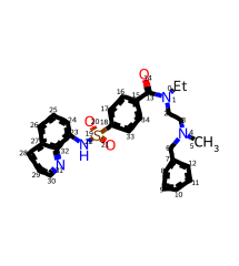 CCN(CCN(C)Cc1ccccc1)C(=O)c1ccc(S(=O)(=O)Nc2cccc3cccnc23)cc1